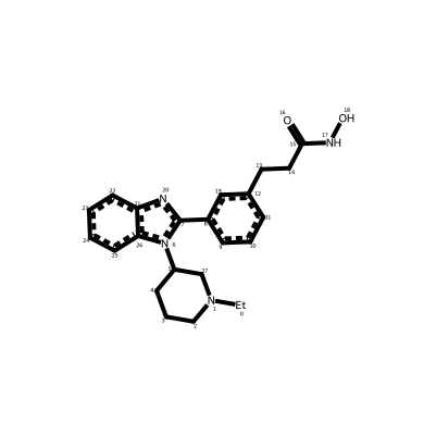 CCN1CCCC(n2c(-c3cccc(CCC(=O)NO)c3)nc3ccccc32)C1